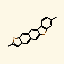 CC1=CC2C=c3cc4sc5cc(C)ccc5c4cc3=CC2S1